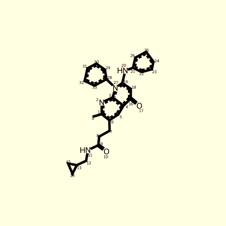 Cc1nc2c(cc1CCC(=O)NCC1CC1)c(=O)cc(Nc1ccccc1)n2-c1ccccc1